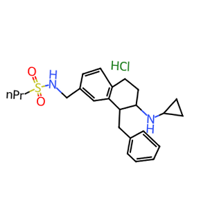 CCCS(=O)(=O)NCc1ccc2c(c1)C(Cc1ccccc1)C(NC1CC1)CC2.Cl